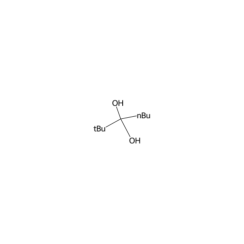 CCCCC(O)(O)C(C)(C)C